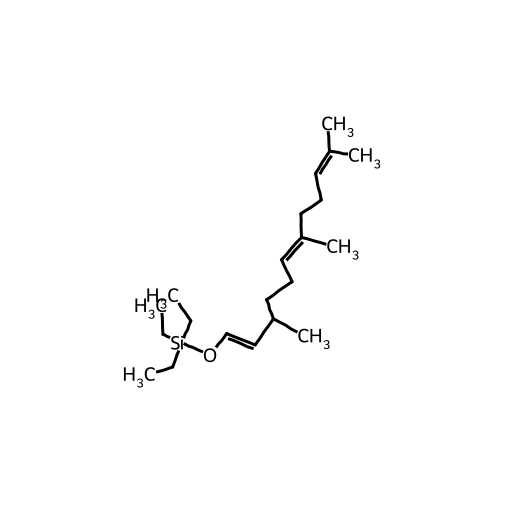 CC[Si](CC)(CC)O/C=C/C(C)CC/C=C(\C)CCC=C(C)C